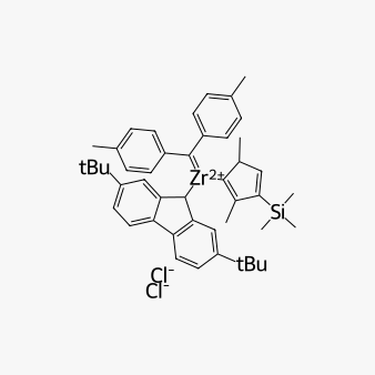 CC1=[C]([Zr+2](=[C](c2ccc(C)cc2)c2ccc(C)cc2)[CH]2c3cc(C(C)(C)C)ccc3-c3ccc(C(C)(C)C)cc32)C(C)C=C1[Si](C)(C)C.[Cl-].[Cl-]